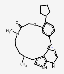 CN1CCCN(C)C(=O)COc2cc(ccc2N2CCCC2)/N=C2/N=CNc3[nH]cc(c32)C1